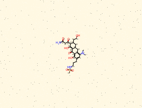 CN(C)c1cc(CCCNS(C)(=O)=O)c(O)c2c1CC1CC(CCO)C(C(=O)CC(N)=O)C(O)=C1C2=O